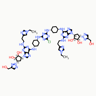 CCn1cnc(CCNc2nc(N[C@H]3CC[C@H](Nc4nc(Cl)nc(N[C@H]5CC[C@H](Nc6nc(NCCc7cn(CC)cn7)nc7c6ncn7[C@@H]6C[C@H](n7ncc(CO)n7)[C@@H](O)[C@H]6O)CC5)n4)CC3)c3ncn([C@@H]4C[C@H](n5ncc(CO)n5)[C@@H](O)[C@H]4O)c3n2)c1